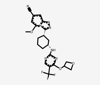 COc1cc(C#N)cc2nnc([C@H]3CCC[C@@H](Nc4ncc(C(F)(F)F)c(OC5COC5)n4)C3)n12